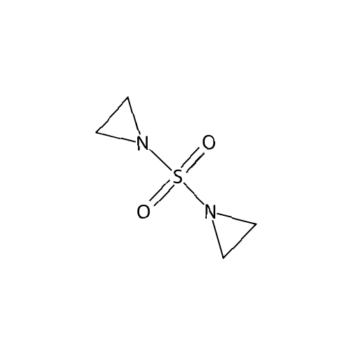 O=S(=O)(N1CC1)N1CC1